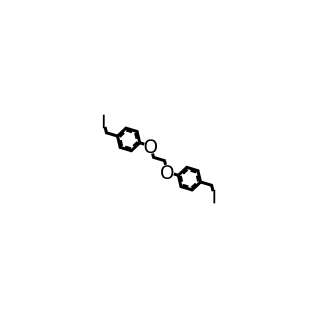 ICc1ccc(OCCOc2ccc(CI)cc2)cc1